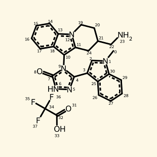 Cn1cc(-c2n[nH]c(=O)n2-c2c3n(c4ccccc24)CCC(CN)C3)c2ccccc21.O=C(O)C(F)(F)F